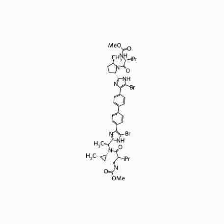 COC(=O)/N=C/C(C(=O)N([C@@H]1C[C@@H]1C)[C@@H](C)c1nc(-c2ccc(-c3ccc(-c4nc([C@@H]5CC[C@@H](C)N5C(=O)[C@@H](NC(=O)OC)C(C)C)[nH]c4Br)cc3)cc2)c(Br)[nH]1)C(C)C